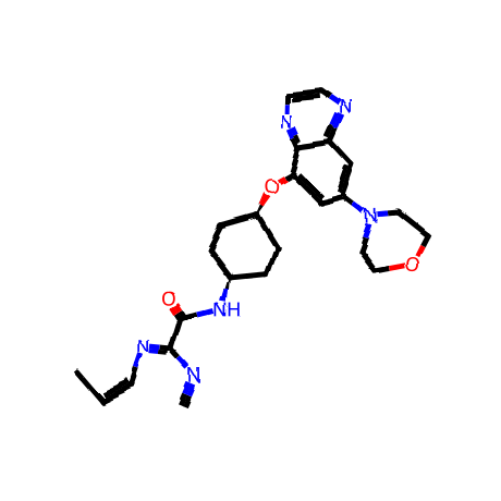 C=N/C(=N\C=C/C)C(=O)N[C@H]1CC[C@@H](Oc2cc(N3CCOCC3)cc3nccnc23)CC1